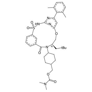 Cc1cccc(C)c1-c1cc2nc(n1)NS(=O)(=O)c1cccc(c1)C(=O)N(C1CCC(COC(=O)N(C)C)CC1)[C@H](CC(C)(C)C)CO2